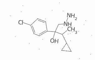 CC(C1CC1)C(O)(CNN)c1ccc(Cl)cc1